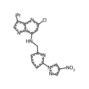 CC(C)c1cnn2c(NCc3cccc(-n4cc([N+](=O)[O-])cn4)n3)cc(Cl)nc12